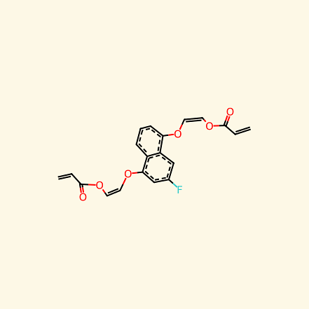 C=CC(=O)O/C=C\Oc1cc(F)cc2c(O/C=C\OC(=O)C=C)cccc12